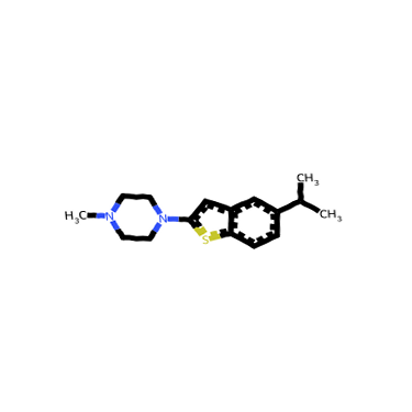 CC(C)c1ccc2sc(N3CCN(C)CC3)cc2c1